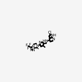 Cc1cc(N2CCn3c(nnc3C(F)(F)F)[C@@H]2C)ncc1CNc1ccnc2[nH]c(Cl)cc12